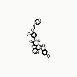 COc1ccc(N2C(=O)Nc3c(C(=O)Nc4ccc(OCCN5CCOCC5)c(OC)c4)sc4ncnc2c34)c(F)c1